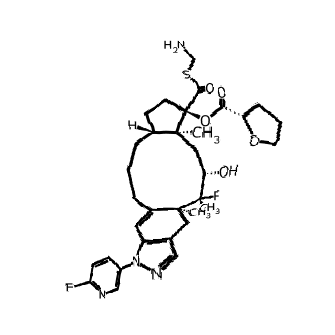 C[C@]12Cc3cnn(-c4ccc(F)nc4)c3C=C1CCC[C@@H]1CC[C@](OC(=O)[C@@H]3CCCO3)(C(=O)SCN)[C@@]1(C)C[C@H](O)[C@]2(C)F